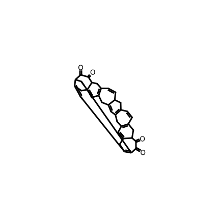 O=C1C(=O)C2CC3=C4C=C2CC2=C1CC1C(=O)C(=O)C5CC6=C(C=C5CC1=C2)CC1=CC(=C(C=C3)CC1C=C6)C4